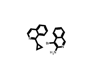 Nc1ncc2ccccc2c1Br.c1ccc2c(C3CC3)nccc2c1